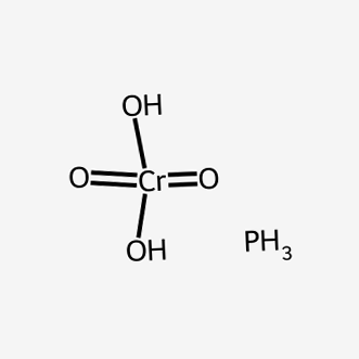 P.[O]=[Cr](=[O])([OH])[OH]